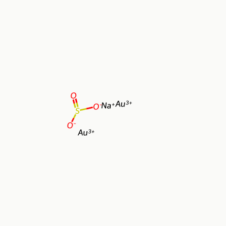 O=S([O-])[O-].[Au+3].[Au+3].[Na+]